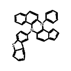 c1ccc(N2c3ccc4ccccc4c3N(c3ccc4sc5ccccc5c4c3)c3ccc4ccccc4c32)cc1